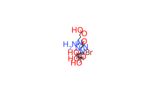 Nc1nc2c(nc(Br)n2[C@@H]2O[C@H](CO)[C@@H](O)[C@H]2O)c(=O)n1CCCC(=O)O